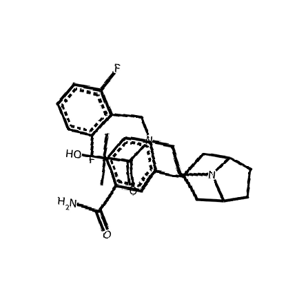 CC(C)(O)C(=O)N(CCN1C2CCC1CC(c1cccc(C(N)=O)c1)C2)Cc1c(F)cccc1F